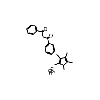 CC1=C(C)C(C)C(C)=C1C.O=C(CC(=O)c1ccccc1)c1ccccc1.[Cl-].[Cl-].[Ti+2]